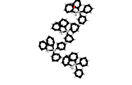 c1ccc([PH][Pd]([c]2ccccc2)([c]2ccccc2)[c]2ccccc2)cc1.c1ccc([PH][Pd]([c]2ccccc2)([c]2ccccc2)[c]2ccccc2)cc1.c1ccc([PH][Pd]([c]2ccccc2)([c]2ccccc2)[c]2ccccc2)cc1.c1ccc([PH][Pd]([c]2ccccc2)([c]2ccccc2)[c]2ccccc2)cc1